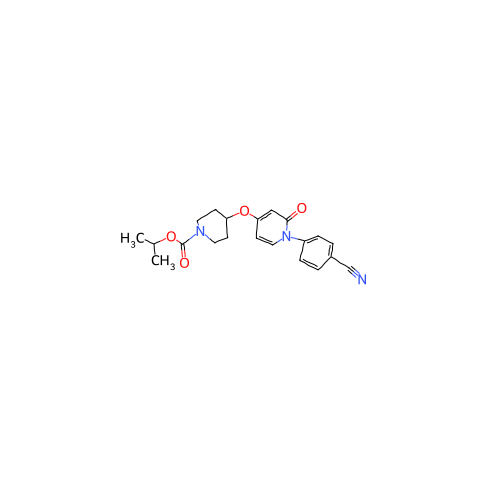 CC(C)OC(=O)N1CCC(Oc2ccn(-c3ccc(C#N)cc3)c(=O)c2)CC1